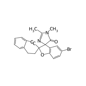 CC1=NC2(C(=O)N1C)c1cc(Br)ccc1OC21CCc2ccccc2CC1